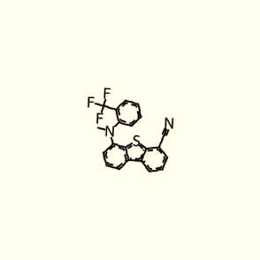 CN(c1ccccc1C(F)(F)F)c1cccc2c1sc1c(C#N)cccc12